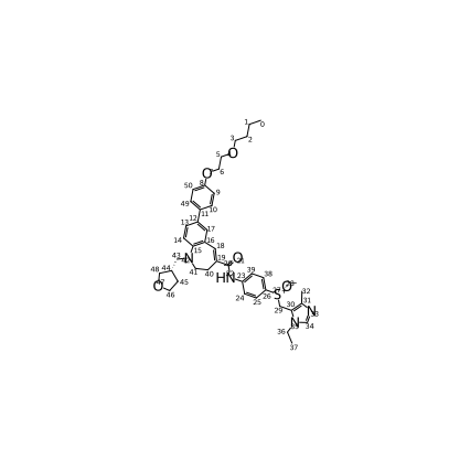 CCCCOCCOc1ccc(-c2ccc3c(c2)C=C(C(=O)Nc2ccc([S@+]([O-])Cc4c(C)ncn4CC)cc2)CCN3C[C@@H]2CCOC2)cc1